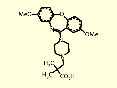 COc1ccc2c(c1)N=C(N1CCN(CC(C)(C)C(=O)O)CC1)c1cc(OC)ccc1O2